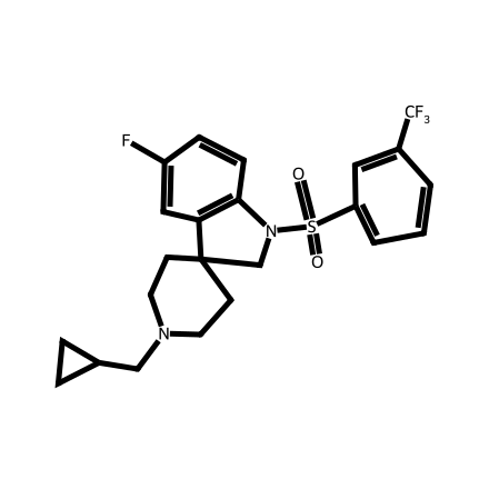 O=S(=O)(c1cccc(C(F)(F)F)c1)N1CC2(CCN(CC3CC3)CC2)c2cc(F)ccc21